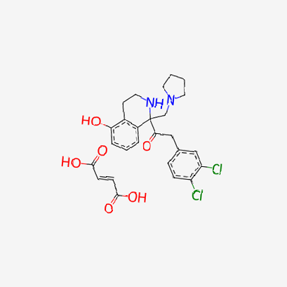 O=C(Cc1ccc(Cl)c(Cl)c1)C1(CN2CCCC2)NCCc2c(O)cccc21.O=C(O)C=CC(=O)O